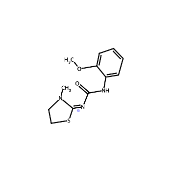 COc1ccccc1NC(=O)/N=C1/SCCN1C